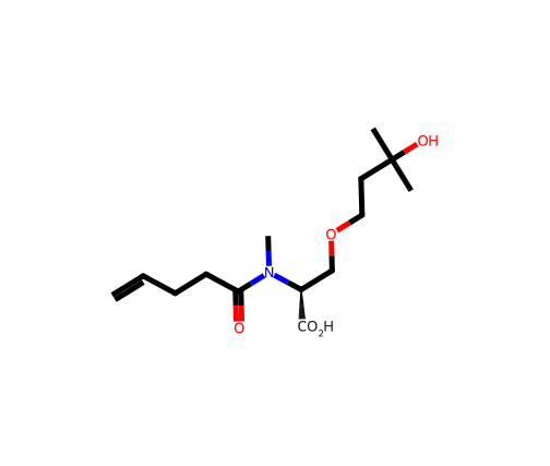 C=CCCC(=O)N(C)[C@@H](COCCC(C)(C)O)C(=O)O